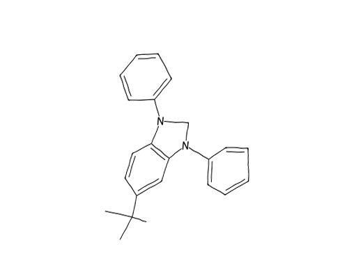 CC(C)(C)c1ccc2c(c1)N(c1ccccc1)CN2c1ccccc1